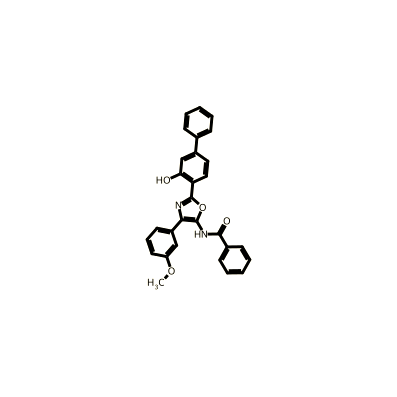 COc1cccc(-c2nc(-c3ccc(-c4ccccc4)cc3O)oc2NC(=O)c2ccccc2)c1